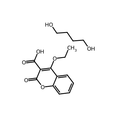 CCOc1c(C(=O)O)c(=O)oc2ccccc12.OCCCCO